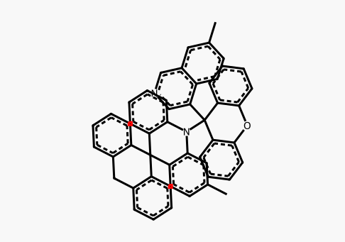 Cc1ccc2c(c1)N(C1(c3cncc4cc(C)ccc34)c3ccccc3Oc3ccccc31)c1ccccc1C21c2ccccc2Cc2ccccc21